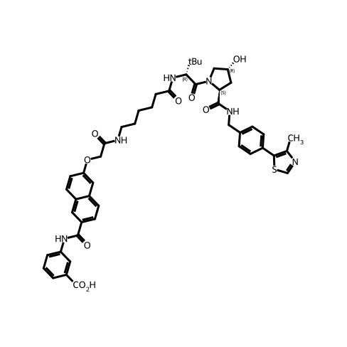 Cc1ncsc1-c1ccc(CNC(=O)[C@@H]2C[C@@H](O)CN2C(=O)[C@H](NC(=O)CCCCCNC(=O)COc2ccc3cc(C(=O)Nc4cccc(C(=O)O)c4)ccc3c2)C(C)(C)C)cc1